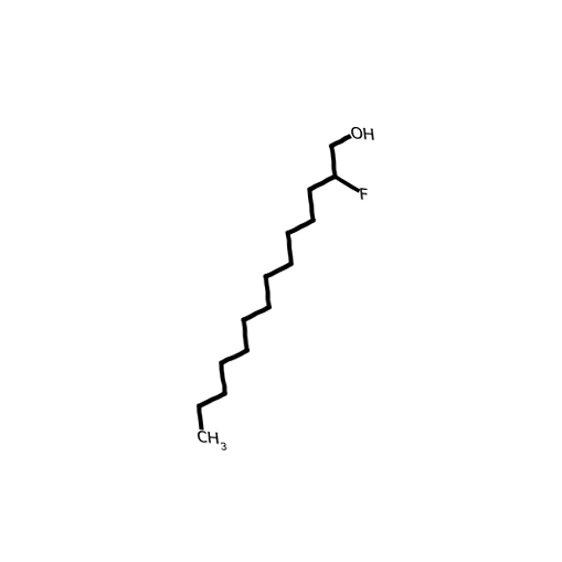 CCCCCCCCCCCCC(F)CO